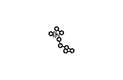 c1cc(-c2ccc(N3c4ccccc4-c4ccccc4-n4c3nc3ccccc34)cc2)cc(-c2ccc3c4c(cccc24)-c2ccccc2-3)c1